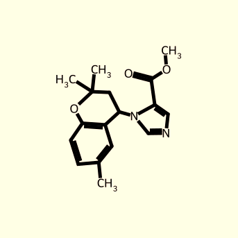 COC(=O)c1cncn1C1CC(C)(C)Oc2ccc(C)cc21